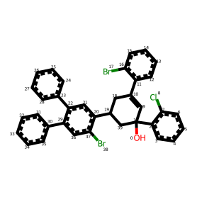 OC1(c2ccccc2Cl)C=C(c2ccccc2Br)CC(c2cc(-c3ccccc3)c(-c3ccccc3)cc2Br)C1